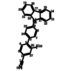 N#Cc1ccc(-c2ccc(-n3c4ccccc4c4ccccc43)cc2)c(F)c1